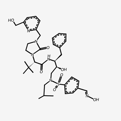 CC(C)CN(C[C@H](O)[C@H](Cc1ccccc1)NC(=O)[C@@H](N1CCN(Cc2cccc(CO)n2)C1=O)C(C)(C)C)S(=O)(=O)c1ccc(C=NO)cc1